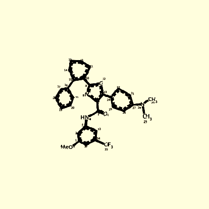 COc1cc(NC(=O)c2nc(-c3ccccc3-c3ccccc3)oc2-c2ccc(N(C)C)cc2)cc(C(F)(F)F)c1